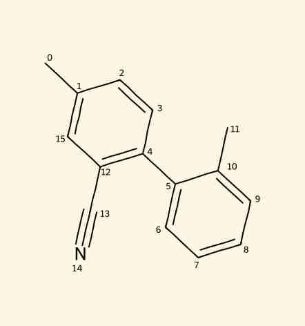 Cc1ccc(-c2ccccc2C)c(C#N)c1